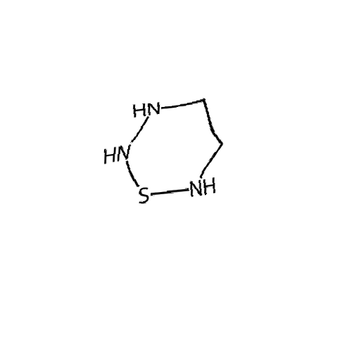 C1CNSNN1